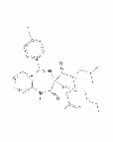 CCCC[C@H](OC(C)=O)[C@@H](CC(C)C)C(=O)C1(N)N=C(c2ccc(F)cc2)c2ccccc2N(C)C1=O